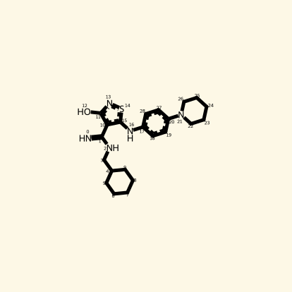 N=C(NCC1CCCCC1)c1c(O)nsc1Nc1ccc(N2CCCCC2)cc1